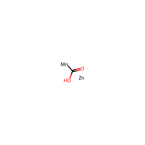 O=[C](O)[Mn].[Zn]